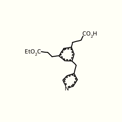 CCOC(=O)CCc1cc(CCC(=O)O)cc(Cc2ccncc2)c1